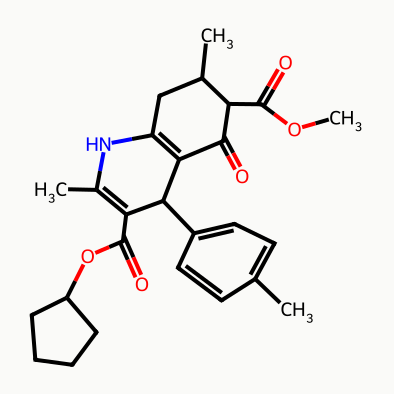 COC(=O)C1C(=O)C2=C(CC1C)NC(C)=C(C(=O)OC1CCCC1)C2c1ccc(C)cc1